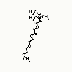 COCCOCCOCCOCC[Si](C)(C)OC